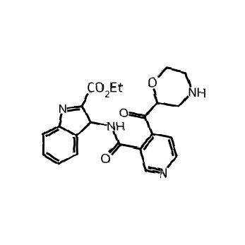 CCOC(=O)C1=Nc2ccccc2C1NC(=O)c1cnccc1C(=O)C1CNCCO1